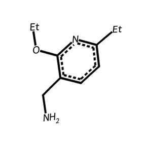 CCOc1nc(CC)ccc1CN